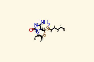 CCCCCSc1sc(C)c(C)n2c(=O)nc(N)c1-2